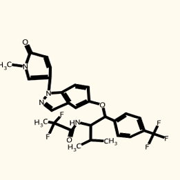 CC(C)C(NC(=O)C(C)(F)F)C(Oc1ccc2c(cnn2-c2ccc(=O)n(C)c2)c1)c1ccc(C(F)(F)F)cc1